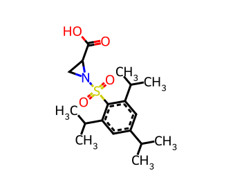 CC(C)c1cc(C(C)C)c(S(=O)(=O)N2CC2C(=O)O)c(C(C)C)c1